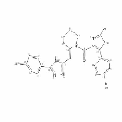 Cc1nc(C(=O)N2CCCCC2Cc2nnc(-c3ccc(F)cc3)[nH]2)c(-c2ccc(F)cc2)s1